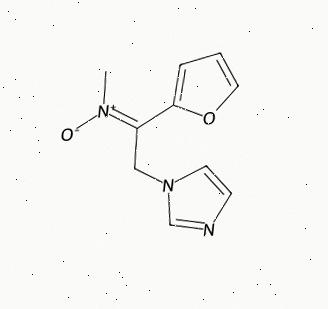 C/[N+]([O-])=C(/Cn1ccnc1)c1ccco1